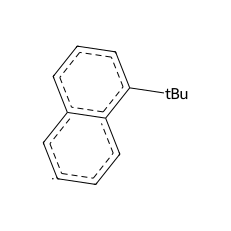 CC(C)(C)c1cccc2c[c]ccc12